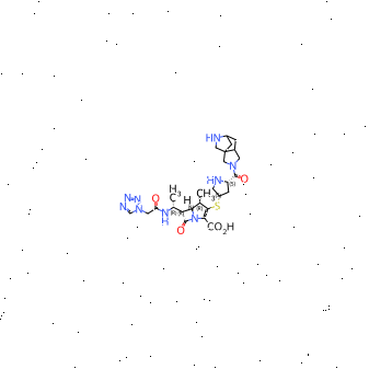 C[C@@H](NC(=O)Cn1cnnn1)[C@H]1C(=O)N2C(C(=O)O)=C(S[C@@H]3CN[C@H](C(=O)N4CC5CC6CC5(CN6)C4)C3)[C@H](C)[C@H]12